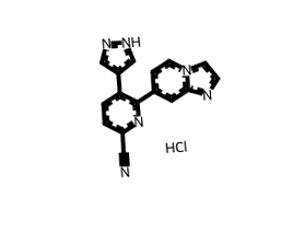 Cl.N#Cc1ccc(-c2cn[nH]c2)c(-c2ccn3ccnc3c2)n1